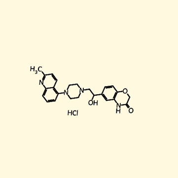 Cc1ccc2c(N3CCN(CC(O)c4ccc5c(c4)NC(=O)CO5)CC3)cccc2n1.Cl